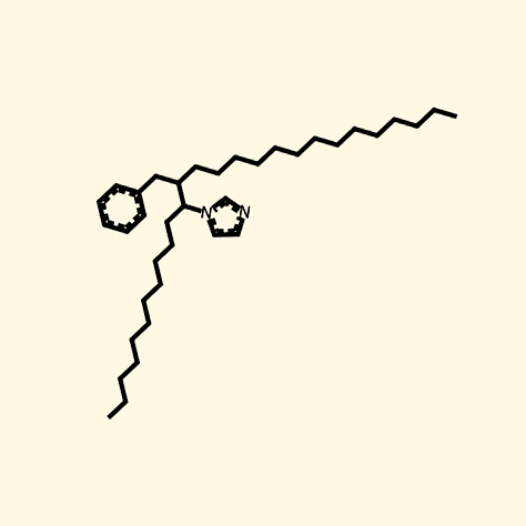 CCCCCCCCCCCCCCC(Cc1ccccc1)C(CCCCCCCCCCC)n1ccnc1